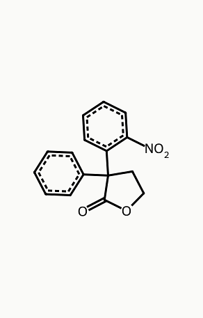 O=C1OCCC1(c1ccccc1)c1ccccc1[N+](=O)[O-]